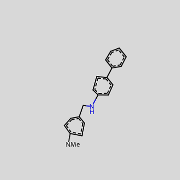 CNc1ccc(CNc2ccc(-c3ccccc3)cc2)cc1